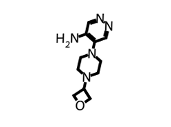 Nc1cnncc1N1CCN(C2COC2)CC1